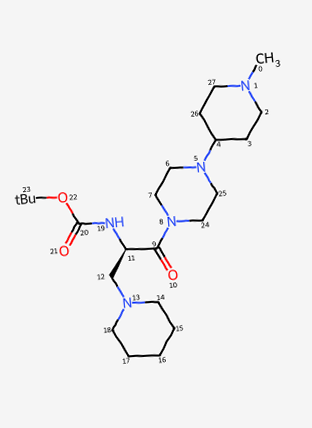 CN1CCC(N2CCN(C(=O)[C@@H](CN3CCCCC3)NC(=O)OC(C)(C)C)CC2)CC1